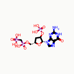 Nc1nc2c(ncn2[C@@H]2O[C@H](COP(=O)(O)CP(=O)(O)O)CC2OP(=O)(O)O)c(=O)[nH]1